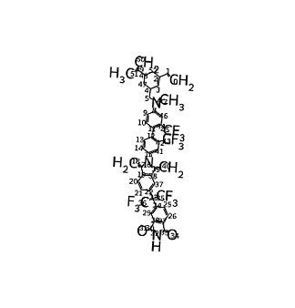 C=CC1=CC(CN(C)c2ccc(-c3ccc(-n4c(=C)c5ccc(C(c6ccc7c(c6)C(=O)NC7=O)(C(F)(F)F)C(F)(F)F)cc5c4=C)cc3C(F)(F)F)c(C(F)(F)F)c2)CC(C(=C)C)C1